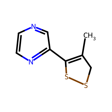 CC1=C(c2cnccn2)SSC1